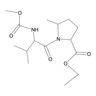 CCOC(=O)C1CCC(C)N1C(=O)C(NC(=O)OC)C(C)C